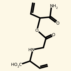 C=CC(NCC(=O)OC(C=C)C(N)=O)C(=O)O